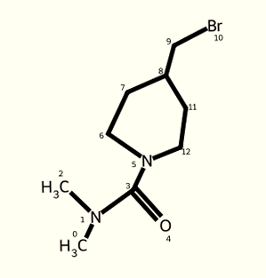 CN(C)C(=O)N1CCC(CBr)CC1